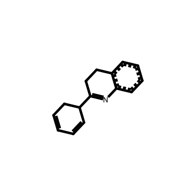 C1=CCC(C2=Nc3ccccc3CC2)C=C1